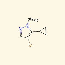 CCCCCn1n[c]c(Br)c1C1CC1